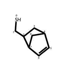 SCC1CC2C=CC1C2